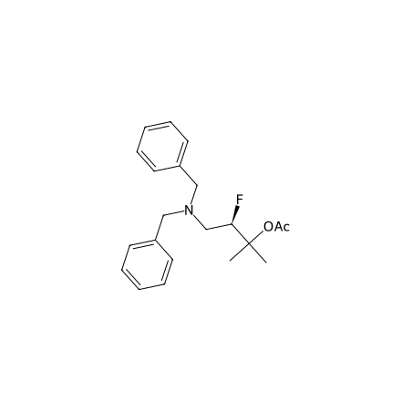 CC(=O)OC(C)(C)[C@H](F)CN(Cc1ccccc1)Cc1ccccc1